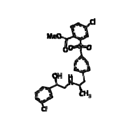 COC(=O)c1ccc(Cl)cc1S(=O)(=O)c1ccc(C[C@@H](C)NC[C@H](O)c2cccc(Cl)c2)cc1